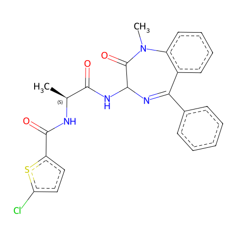 C[C@H](NC(=O)c1ccc(Cl)s1)C(=O)NC1N=C(c2ccccc2)c2ccccc2N(C)C1=O